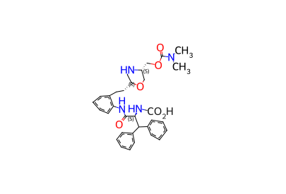 CN(C)C(=O)OC[C@@H]1CO[C@H](CCc2ccccc2NC(=O)[C@@H](NC(=O)O)C(c2ccccc2)c2ccccc2)CN1